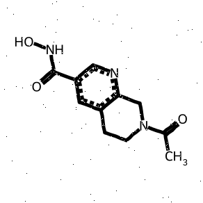 CC(=O)N1CCc2cc(C(=O)NO)cnc2C1